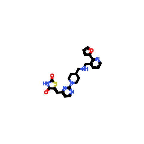 O=C1NC(=O)C(=Cc2ccnc(N3CCC(CNCc4cccnc4-c4ccco4)CC3)n2)S1